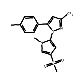 Cc1ccc(-c2cc(C(F)(F)F)nn2-c2cc(S(C)(=O)=O)cn2C)cc1